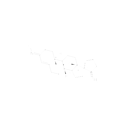 C=C1CCO[C@@]12CC[C@H]1[C@@H]3CCC4=CC(=NO)CC[C@@H]4[C@H]3CC[C@@]12C